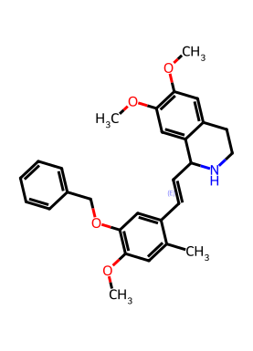 COc1cc2c(cc1OC)C(/C=C/c1cc(OCc3ccccc3)c(OC)cc1C)NCC2